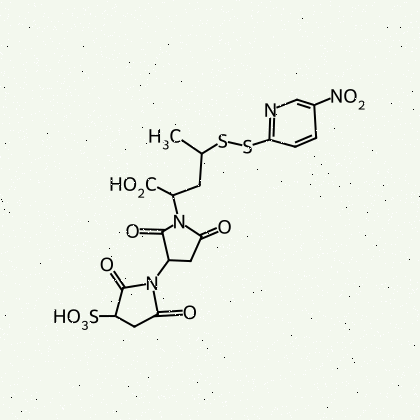 CC(CC(C(=O)O)N1C(=O)CC(N2C(=O)CC(S(=O)(=O)O)C2=O)C1=O)SSc1ccc([N+](=O)[O-])cn1